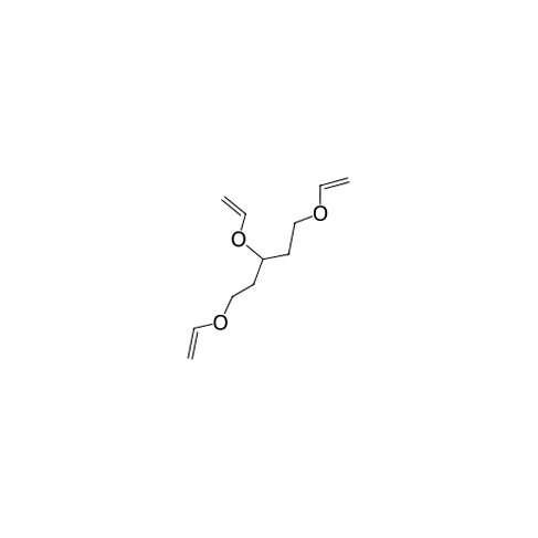 C=COCCC(CCOC=C)OC=C